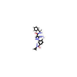 Cc1ccc(C(=O)NC2CC2)cc1-n1ncc(C(=O)N[C@H](C)C2CCCCC2)c1N